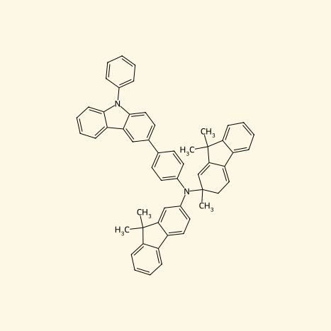 CC1(C)C2=CC(C)(N(c3ccc(-c4ccc5c(c4)c4ccccc4n5-c4ccccc4)cc3)c3ccc4c(c3)C(C)(C)c3ccccc3-4)CC=C2c2ccccc21